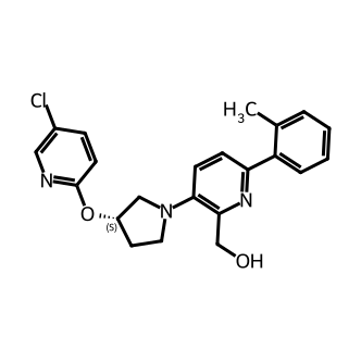 Cc1ccccc1-c1ccc(N2CC[C@H](Oc3ccc(Cl)cn3)C2)c(CO)n1